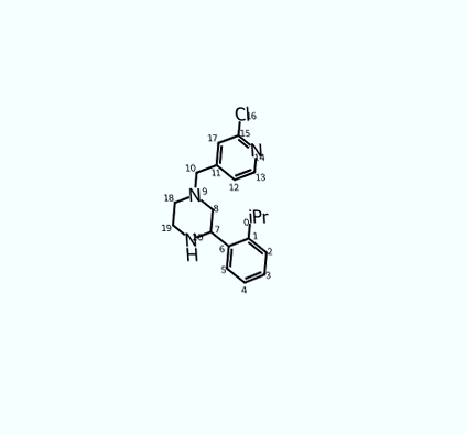 CC(C)c1ccccc1C1CN(Cc2ccnc(Cl)c2)CCN1